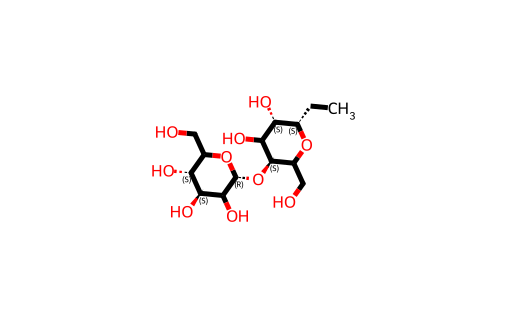 CC[C@@H]1OC(CO)[C@@H](O[C@H]2OC(CO)[C@@H](O)[C@H](O)C2O)C(O)[C@@H]1O